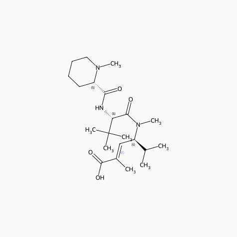 C/C(=C\[C@H](C(C)C)N(C)C(=O)[C@@H](NC(=O)[C@@H]1CCCCN1C)C(C)(C)C)C(=O)O